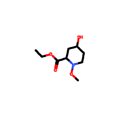 CCOC(=O)C1CC(O)CCN1OC